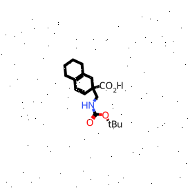 CC(C)(C)OC(=O)NCC1(C(=O)O)C=CC2=C(CCCC2)C1